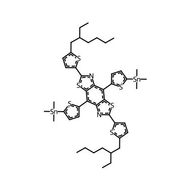 CCCCC(CC)Cc1ccc(-c2nc3c(-c4cc[c]([Sn]([CH3])([CH3])[CH3])s4)c4sc(-c5ccc(CC(CC)CCCC)s5)nc4c(-c4cc[c]([Sn]([CH3])([CH3])[CH3])s4)c3s2)s1